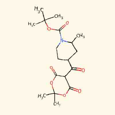 CC1CC(C(=O)C2C(=O)OC(C)(C)OC2=O)CCN1C(=O)OC(C)(C)C